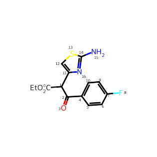 CCOC(=O)C(C(=O)c1ccc(F)cc1)c1csc(N)n1